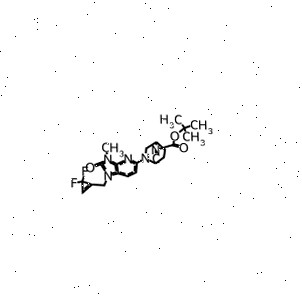 Cn1c(=O)n(CC2=CC2(F)F)c2ccc(N3CC4CCC3CN4C(=O)OC(C)(C)C)nc21